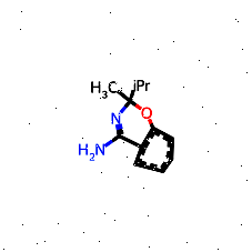 CC(C)C1(C)N=C(N)c2ccccc2O1